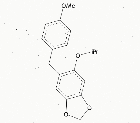 COc1ccc(Cc2cc3c(cc2OC(C)C)OCO3)cc1